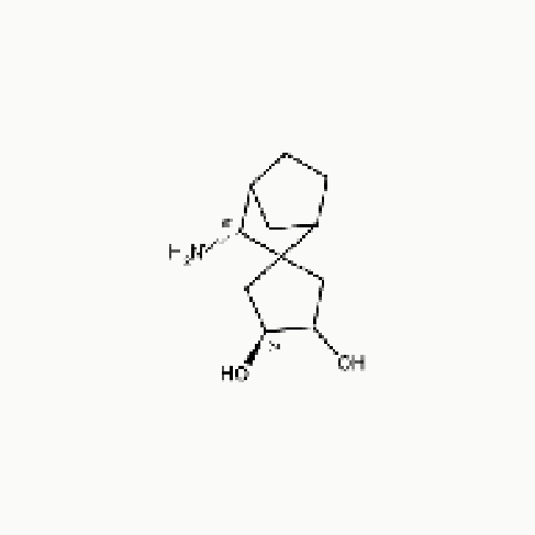 N[C@@H]1C2CCC(C2)C12CC(O)[C@@H](O)C2